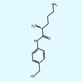 NCCC[C@H](N)C(=O)Nc1ccc(CO)cc1